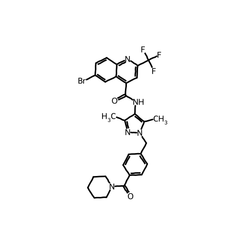 Cc1nn(Cc2ccc(C(=O)N3CCCCC3)cc2)c(C)c1NC(=O)c1cc(C(F)(F)F)nc2ccc(Br)cc12